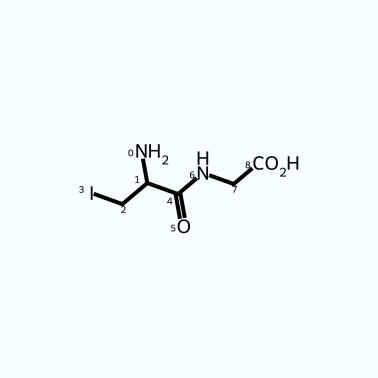 NC(CI)C(=O)NCC(=O)O